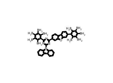 Bc1c(B)c(B)c(-c2ccc3c(c2)oc2cc(-c4nc(-c5c(B)c(B)c(B)c(B)c5B)nc(-n5c6ccccc6c6ccccc65)n4)ccc23)c(B)c1B